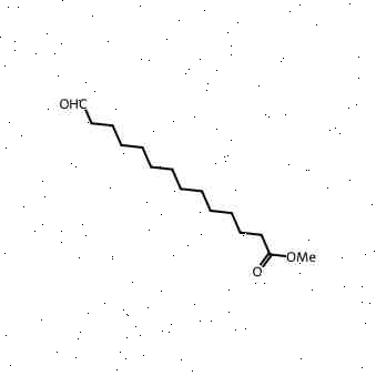 COC(=O)CCCCCCCCCCCCC=O